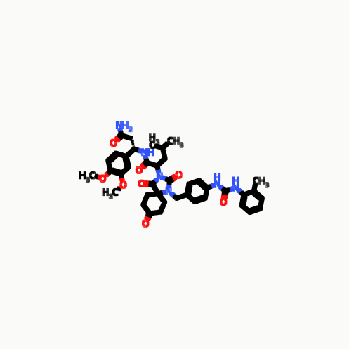 COc1ccc([C@H](CC(N)=O)NC(=O)C(CC(C)C)N2C(=O)N(Cc3ccc(NC(=O)Nc4ccccc4C)cc3)C3(CCC(=O)CC3)C2=O)cc1OC